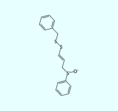 [O-][S+](CC=CSSCc1ccccc1)c1ccccc1